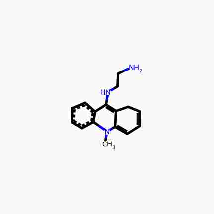 CN1C2=CC=CCC2=C(NCCN)c2ccccc21